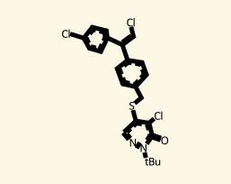 CC(C)(C)n1ncc(SCc2ccc(/C(=C/Cl)c3ccc(Cl)cc3)cc2)c(Cl)c1=O